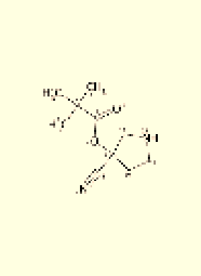 CC(C)(C)C(=O)OC1(C#N)CCNC1